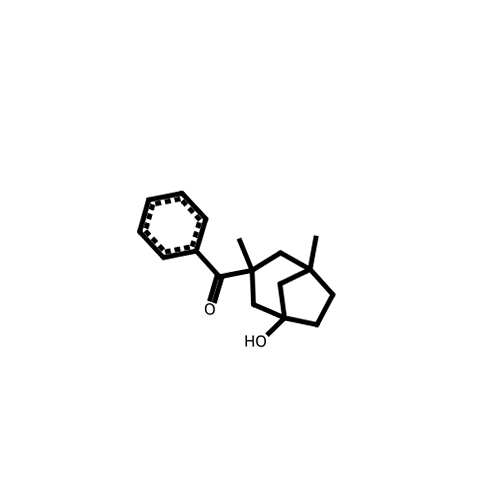 CC12CCC(O)(C1)CC(C)(C(=O)c1ccccc1)C2